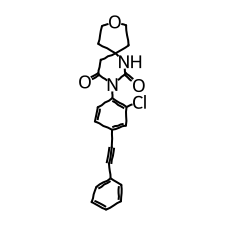 O=C1CC2(CCOCC2)NC(=O)N1c1ccc(C#Cc2ccccc2)cc1Cl